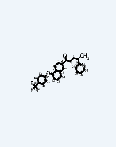 C[C@@H](CCC(=O)c1ccc2c(Oc3ccc(C(F)(F)F)cc3)cccc2c1)c1ccccn1